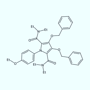 CCOc1ccc(-n2c(C(=O)N(CC)CC)c(OCc3ccccc3)c(OCc3ccccc3)c2C(=O)N(CC)CC)cc1